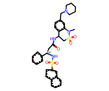 CN1c2cc(CN3CCCCC3)ccc2C(NC(=O)C[C@@H](NS(=O)(=O)c2ccc3ccccc3c2)c2ccccc2)CS1(=O)=O